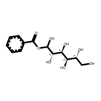 O=C(OC(O)[C@@H](O)[C@@H](O)[C@H](O)[C@H](O)CO)c1ccccc1